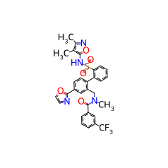 Cc1noc(NS(=O)(=O)c2ccccc2-c2ccc(-c3ncco3)cc2CN(C)C(=O)c2cccc(C(F)(F)F)c2)c1C